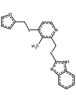 Cc1c(SCc2ccco2)ccnc1CSc1nc2ccccc2[nH]1